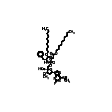 C#C[C@]1(COP(=O)(N[C@@H](Cc2ccccc2)C(=O)OCCCCCCCCCC)OCC(=O)OCCCCCCCCCC)O[C@@H](n2cnc3c(NC)nc(F)nc32)C[C@@H]1OC